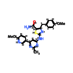 COc1ccc(Cc2nc(Nc3cc(-c4ccc(OC)nc4)nc(C)n3)sc2C(N)=O)cc1